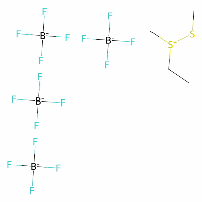 CC[S+](C)SC.F[B-](F)(F)F.F[B-](F)(F)F.F[B-](F)(F)F.F[B-](F)(F)F